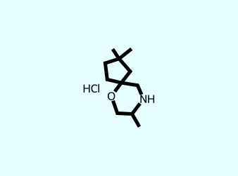 CC1COC2(CCC(C)(C)C2)CN1.Cl